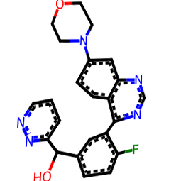 OC(c1ccc(F)c(-c2ncnc3cc(N4CCOCC4)ccc23)c1)c1cccnn1